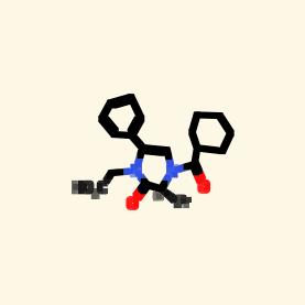 CC(C)[C@H]1C(=O)N(CC(=O)O)C(c2ccccc2)=CN1C(=O)C1CCCCC1